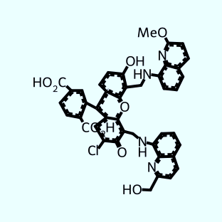 COc1ccc2cccc(NCc3c(O)ccc4c(-c5cc(C(=O)O)ccc5C(=O)O)c5cc(Cl)c(=O)c(CNc6cccc7ccc(CO)nc67)c-5oc34)c2n1